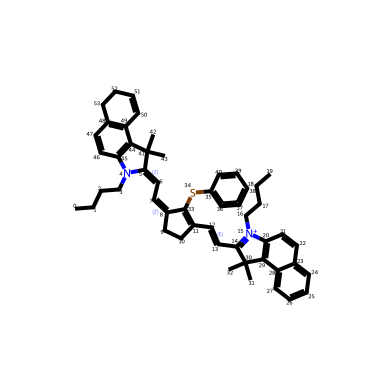 CCCCN1/C(=C\C=C2\CCC(/C=C/C3=[N+](CCCC)c4ccc5ccccc5c4C3(C)C)=C2SC2=C=C=CC=C2)C(C)(C)c2c1ccc1c2C=CCC1